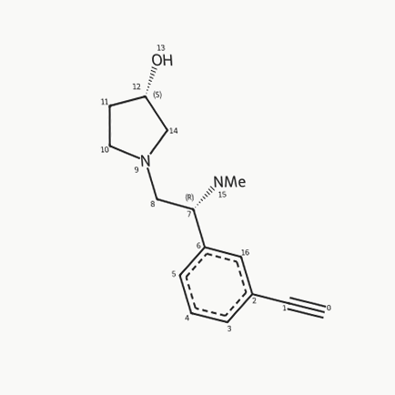 C#Cc1cccc([C@H](CN2CC[C@H](O)C2)NC)c1